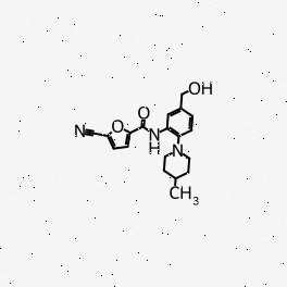 CC1CCN(c2ccc(CO)cc2NC(=O)c2ccc(C#N)o2)CC1